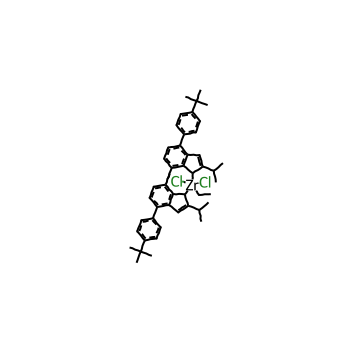 C[CH2][Zr]([Cl])([Cl])([CH]1C(C(C)C)=Cc2c(-c3ccc(C(C)(C)C)cc3)ccc(C)c21)[CH]1C(C(C)C)=Cc2c(-c3ccc(C(C)(C)C)cc3)ccc(C)c21